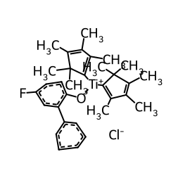 CC1=C(C)C(C)(C)[C]([Ti+]([O]c2ccc(F)cc2-c2ccccc2)[C]2=C(C)C(C)=C(C)C2(C)C)=C1C.[Cl-]